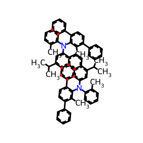 Cc1ccccc1N(c1c(-c2ccccc2)ccc(-c2ccccc2)c1C)c1cc(C(C)C)c2ccc3c(N(c4ccccc4C)c4c(-c5ccccc5)ccc(-c5ccccc5)c4C)cc(C(C)C)c4ccc1c2c43